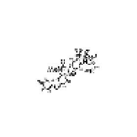 CNC(=O)c1c(-c2ccc(Oc3ccc(F)cc3)cc2)oc2cc(N(C3CCOC3)S(C)(=O)=O)c(C3CC3)cc12